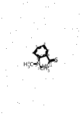 CN(C)c1ccccc1C(=S)S